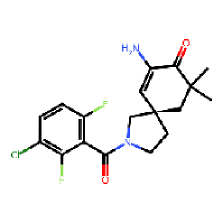 CC1(C)C[C@@]2(C=C(N)C1=O)CCN(C(=O)c1c(F)ccc(Cl)c1F)C2